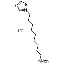 CCCCCCCCCCCCCCCCCC[n+]1ccoc1.[Cl-]